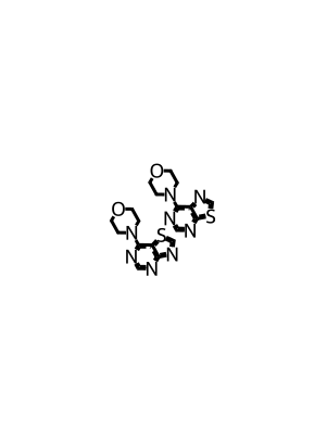 c1nc(N2CCOCC2)c2ncsc2n1.c1nc(N2CCOCC2)c2scnc2n1